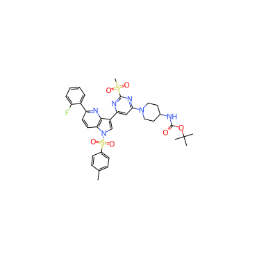 Cc1ccc(S(=O)(=O)n2cc(-c3cc(N4CCC(NC(=O)OC(C)(C)C)CC4)nc(S(C)(=O)=O)n3)c3nc(-c4ccccc4F)ccc32)cc1